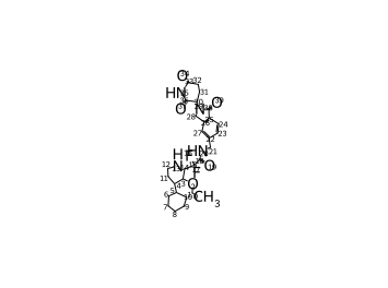 CCOC1C(C2CCCCC2)CCNC1C(F)(F)C(=O)NCc1ccc2c(c1)CN(C1CCC(=O)NC1=O)C2=O